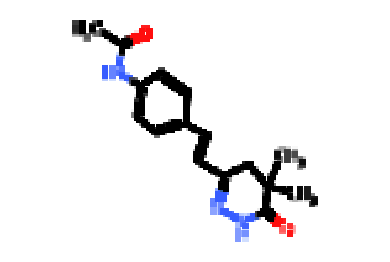 CC(=O)Nc1ccc(C=CC2=NNC(=O)C(C)(C)C2)cc1